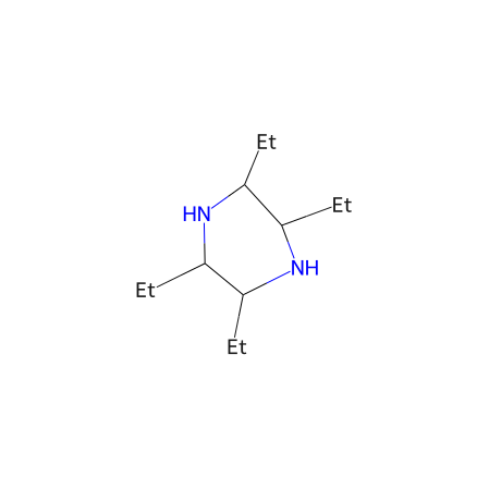 CCC1NC(CC)C(CC)NC1CC